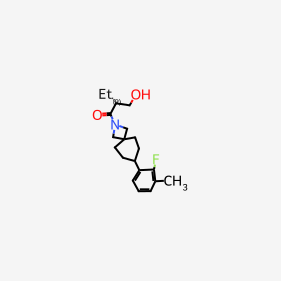 CC[C@H](CO)C(=O)N1CC2(CCC(c3cccc(C)c3F)CC2)C1